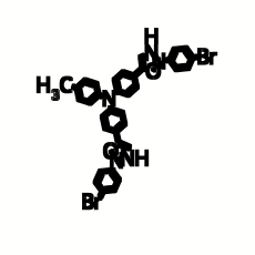 Cc1ccc(N(c2ccc(C3=CNN(c4ccc(Br)cc4)O3)cc2)c2ccc(C3=CNN(c4ccc(Br)cc4)O3)cc2)cc1